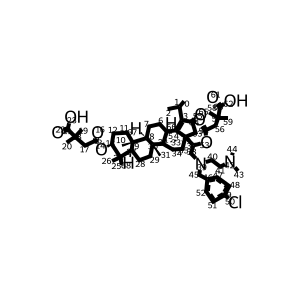 CC(C)C1=C2[C@H]3CC[C@@H]4[C@@]5(C)CC[C@H](OC(=O)CC(C)(C)C(=O)O)C(C)(C)[C@@H]5CC[C@@]4(C)[C@]3(C)CCC2(C(CN(CCN(C)C)Cc2ccc(Cl)cc2)OC(=O)CC(C)(C)C(=O)O)CC1=O